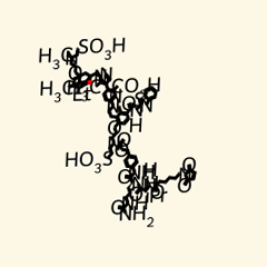 CCC1C2CC3(Cn4ncc(-c5ccc(N6CCc7c(OCCN(CCS(=O)(=O)O)C(=O)OCc8ccc(NC(=O)[C@H](CCCNC(N)=O)NC(=O)[C@@H](NC(=O)CCCCCN9C(=O)C=CC9=O)C(C)C)cc8)ccc(C(=O)Nc8nc9ccccc9s8)c7C6)nc5C(=O)O)c4C)CC(OCCN(C)CCS(=O)(=O)O)(C2)CC1(C)C3